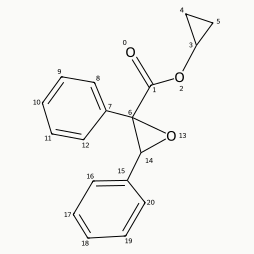 O=C(OC1CC1)C1(c2ccccc2)OC1c1ccccc1